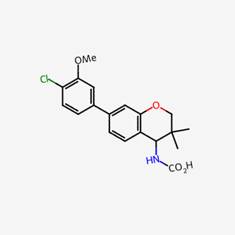 COc1cc(-c2ccc3c(c2)OCC(C)(C)C3NC(=O)O)ccc1Cl